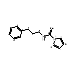 O=C(NCCCc1ccccc1)n1cccn1